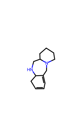 C1=CCC2NCC3CCCCN3CC2=C1